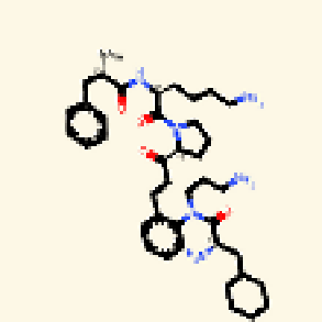 CN[C@@H](Cc1ccccc1)C(=O)N[C@@H](CCCCN)C(=O)N1CCC[C@H]1C(=O)CCc1ccccc1N(CCCN)C(=O)[C@H](N)CC1CCCCC1